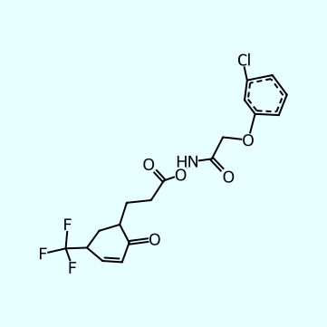 O=C(COc1cccc(Cl)c1)NOC(=O)CCC1CC(C(F)(F)F)C=CC1=O